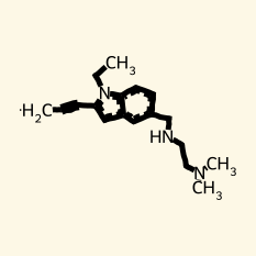 [CH2]C#Cc1cc2cc(CNCCN(C)C)ccc2n1CC